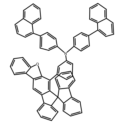 c1cc(-c2c3c(cc4c2oc2ccccc24)-c2ccccc2C32c3ccccc3-c3ccccc32)cc(N(c2ccc(-c3cccc4ccccc34)cc2)c2ccc(-c3cccc4ccccc34)cc2)c1